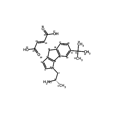 C[C@H](N)Cn1ccc2c1-c1cc(C(C)(C)C)ccc1C2.O=C(O)/C=C/C(=O)O